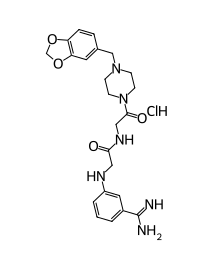 Cl.N=C(N)c1cccc(NCC(=O)NCC(=O)N2CCN(Cc3ccc4c(c3)OCO4)CC2)c1